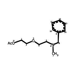 CC(=O)OCCOCCN(C)Cc1ccccc1